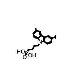 O=P(O)(O)CCCCn1c2ccc(I)cc2c2cc(I)ccc21